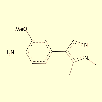 COc1cc(-c2cnn(C)c2C)ccc1N